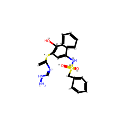 C=C(/N=C\NN)Sc1cc(NS(=O)(=O)Cc2ccccc2)c2ccccc2c1O